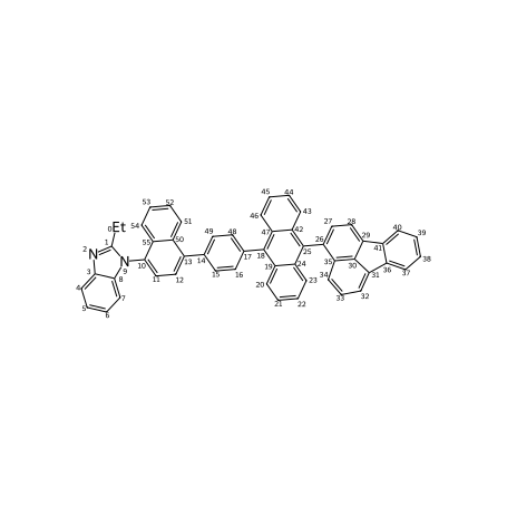 CCc1nc2ccccc2n1-c1ccc(-c2ccc(-c3c4ccccc4c(-c4ccc5c6c(cccc46)-c4ccccc4-5)c4ccccc34)cc2)c2ccccc12